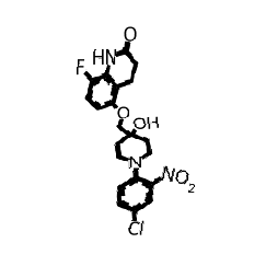 O=C1CCc2c(OCC3(O)CCN(c4ccc(Cl)cc4[N+](=O)[O-])CC3)ccc(F)c2N1